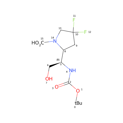 CC(C)(C)OC(=O)N[C@@H](CO)C1CC(F)(F)CN1C(=O)O